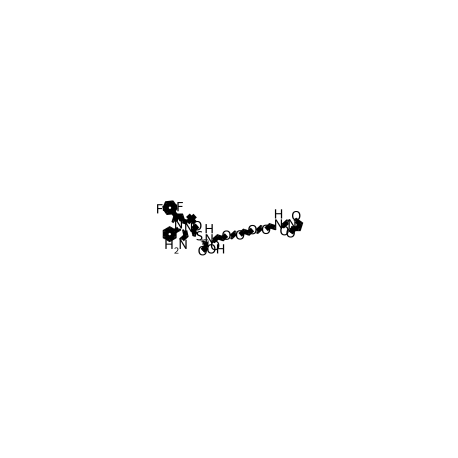 CC(C)(C)C(c1cc(-c2cc(F)ccc2F)cn1Cc1ccccc1)N(CCCN)C(=O)CSC[C@H](NC(=O)CCOCCOCCOCCOCCNC(=O)CN1C(=O)C=CC1=O)C(=O)O